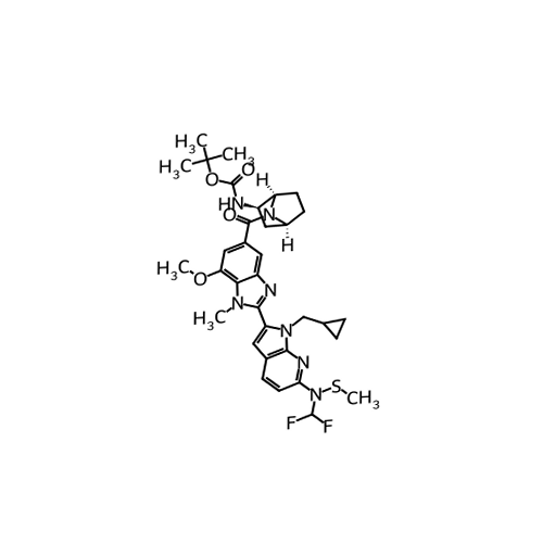 COc1cc(C(=O)N2[C@H]3CC[C@@H]2[C@H](NC(=O)OC(C)(C)C)C3)cc2nc(-c3cc4ccc(N(SC)C(F)F)nc4n3CC3CC3)n(C)c12